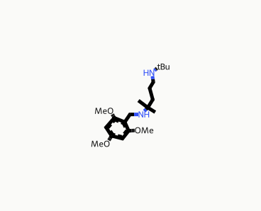 COc1cc(OC)c(CNC(C)(C)CCCNC(C)(C)C)c(OC)c1